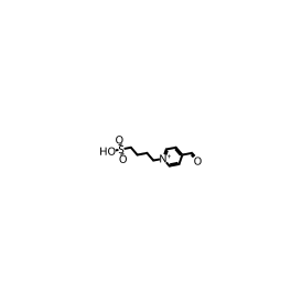 O=Cc1cc[n+](CCCCS(=O)(=O)O)cc1